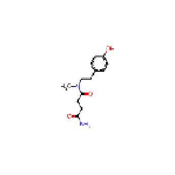 CN(CCc1ccc(O)cc1)C(=O)CCC(N)=O